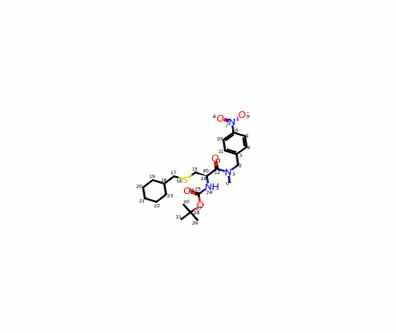 CN(Cc1ccc([N+](=O)[O-])cc1)C(=O)[C@H](CSCC1CCCCC1)NC(=O)OC(C)(C)C